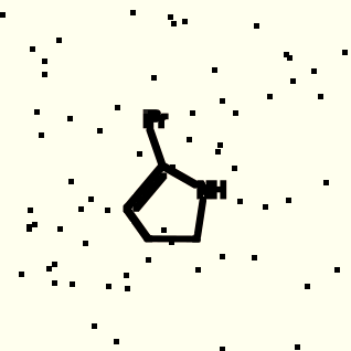 CC(C)C1=CCCN1